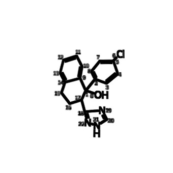 OC1(c2ccc(Cl)cc2)c2ccccc2CCC1c1nc[nH]n1